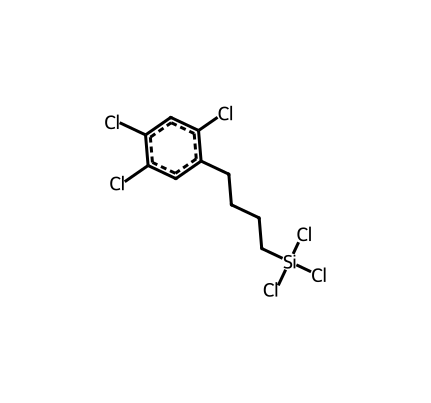 Clc1cc(Cl)c(CCCC[Si](Cl)(Cl)Cl)cc1Cl